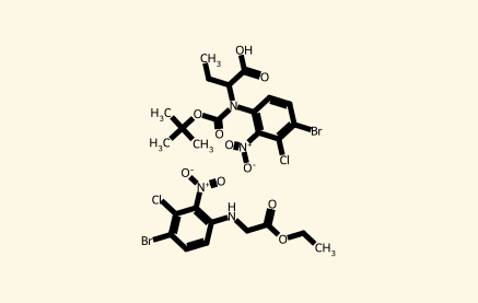 CCC(C(=O)O)N(C(=O)OC(C)(C)C)c1ccc(Br)c(Cl)c1[N+](=O)[O-].CCOC(=O)CNc1ccc(Br)c(Cl)c1[N+](=O)[O-]